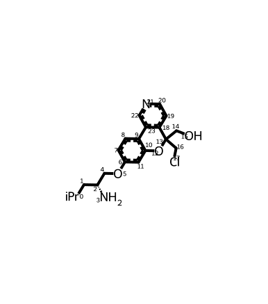 CC(C)C[C@@H](N)COc1ccc2c(c1)OC(CO)(CCl)c1ccncc1-2